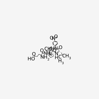 CC(C)C[C@H](NC(=O)[C@@H]1CCCN1C(=O)[C@H](C)NC(=O)[C@@H](N)CCC(=O)O)C(=O)Nc1ccc([N+](=O)[O-])cc1